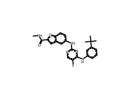 CNC(=O)c1cc2cc(Nc3ncc(F)c(Nc4cccc(C(C)(C)C)c4)n3)ccc2o1